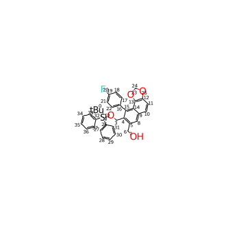 CC(C)(C)[Si](OCc1c(CO)cc2ccc3c(c2c1-c1ccc(F)cc1)OCO3)(c1ccccc1)c1ccccc1